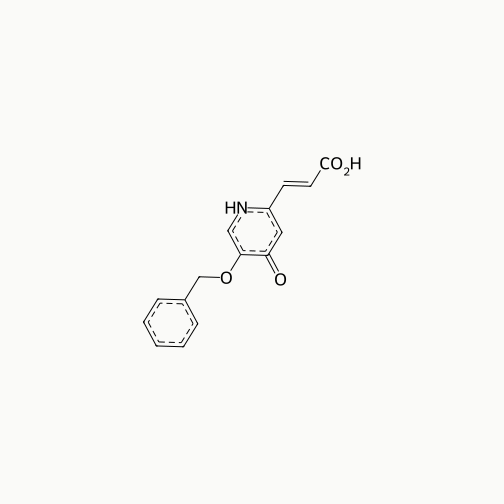 O=C(O)C=Cc1cc(=O)c(OCc2ccccc2)c[nH]1